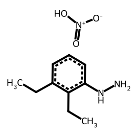 CCc1cccc(NN)c1CC.O=[N+]([O-])O